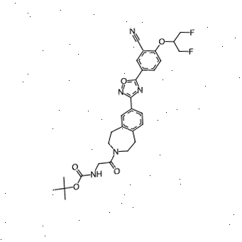 CC(C)(C)OC(=O)NCC(=O)N1CCc2ccc(-c3noc(-c4ccc(OC(CF)CF)c(C#N)c4)n3)cc2CC1